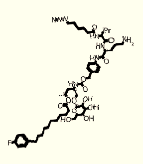 CC(C)C(NC(=O)CCCCCN=[N+]=[N-])C(=O)N[C@@H](CCCN)C(=O)Nc1ccc(COC(=O)N[C@@H](CO[C@H]2OC(CO)[C@H](O)C(O)C2O)C[C@@H](C)OC(=O)CCCCCCCCCCc2ccc(F)cc2)cc1